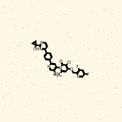 Cc1cnc(-c2ccc(-c3ccnc(C4(O)CC4)n3)cc2)cc1-n1c(C)cc(OCc2ncc(F)cc2F)c(Cl)c1=O